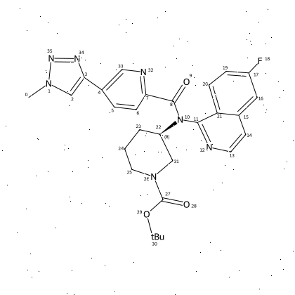 Cn1cc(-c2ccc(C(=O)N(c3nccc4cc(F)ccc34)[C@@H]3CCCN(C(=O)OC(C)(C)C)C3)nc2)nn1